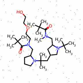 CN(CC1CC(CC(C)(C)N2CCCC2CN(CCOCCO)C(=O)C(C)(C)C)CN1C(C)(C)C)C(=O)C(C)(C)C